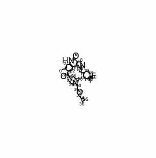 Cc1cc2[nH]c(=O)c3cnn(CC4CCC(F)(F)CC4)c3c2cc1C(=O)N1CCN(CCOCC2CC2)[C@@H](C)C1